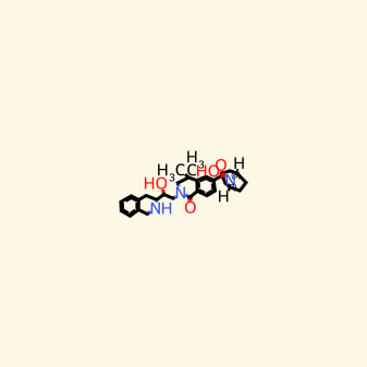 CC1(C)CN(CC(O)C2Cc3ccccc3CN2)C(=O)c2ccc(C(=O)N3[C@@H]4CC[C@H]3CC(O)C4)cc21